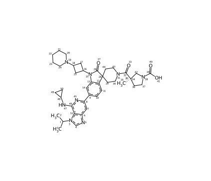 CC(C)n1cnc2cc(-c3ccc4c(c3)N(C3CC(N5CCCCC5)C3)C(=O)C43CCN(C(=O)[C@]4(C)CCN(C(=O)O)C4)CC3)nc(NC3CC3)c21